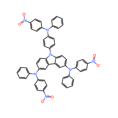 O=[N+]([O-])c1ccc(N(c2ccccc2)c2ccc(-n3c4ccc(N(c5ccccc5)c5ccc([N+](=O)[O-])cc5)cc4c4cc(N(c5ccccc5)c5ccc([N+](=O)[O-])cc5)ccc43)cc2)cc1